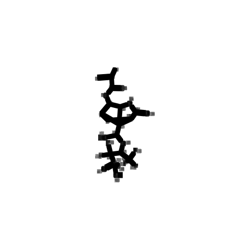 C=C(C)C(=O)OC1C2CC3C1OC(=O)C3C2C(O)OC(C(F)(F)F)C(F)(F)S(=O)(=O)O